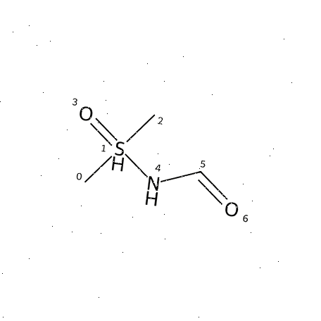 C[SH](C)(=O)NC=O